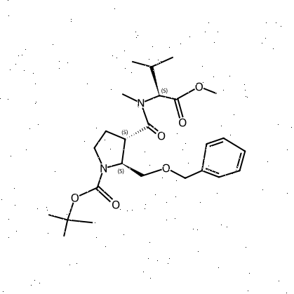 COC(=O)[C@H](C(C)C)N(C)C(=O)[C@H]1CCN(C(=O)OC(C)(C)C)[C@@H]1COCc1ccccc1